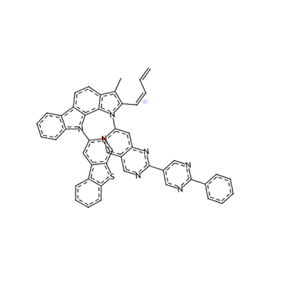 C=C/C=C\c1c(C)c2ccc3c4ccccc4n(-c4ccc5sc6ccccc6c5c4)c3c2n1-c1cc2nc(-c3cnc(-c4ccccc4)nc3)ncc2cn1